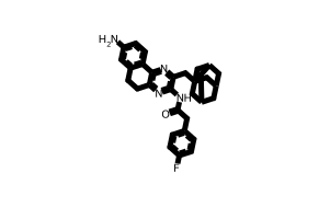 Nc1ccc2c(c1)CCc1nc(NC(=O)Cc3ccc(F)cc3)c(CC34CC5CC(CC(C5)C3)C4)nc1-2